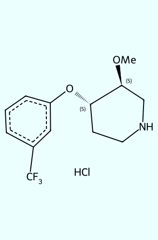 CO[C@H]1CNCC[C@@H]1Oc1cccc(C(F)(F)F)c1.Cl